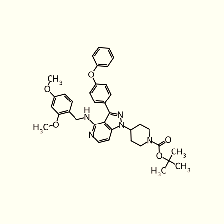 COc1ccc(CNc2nccc3c2c(-c2ccc(Oc4ccccc4)cc2)nn3C2CCN(C(=O)OC(C)(C)C)CC2)c(OC)c1